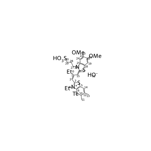 CCC(=Cc1sc2c([n+]1CC)[Te]C(C)C(C)=C2)C=C1Sc2cc(OC)c(OC)cc2N1CCCS(=O)(=O)O.[OH-]